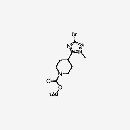 Cn1nc(Br)nc1C1CCN(C(=O)OC(C)(C)C)CC1